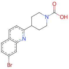 O=C(O)N1CCC(c2ccc3ccc(Br)cc3n2)CC1